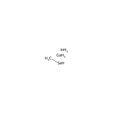 C[SeH].[GaH3].[InH3]